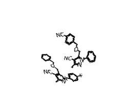 Cc1nn(-c2ccc(F)cc2)c(COCc2ccccc2)c1C#N.Cc1nn(-c2ccccc2)c(COCc2ccc(C#N)cc2)c1C#N